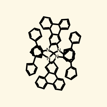 c1ccc(-c2cccc(N3c4cc5c6ccccc6c6ccccc6c5cc4N(c4cccc(-c5ccccc5)c4)C34N(c3cccc(-c5ccccc5)c3)c3cc5c6ccccc6c6ccccc6c5cc3N4c3cccc(-c4ccccc4)c3)c2)cc1